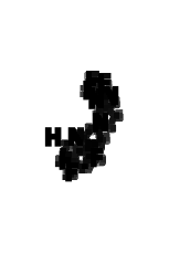 NC1CC(N2CCc3cnc(C(F)(F)F)nc3C2)CC[C@@H]1C1CC(F)=C(F)C=C1F